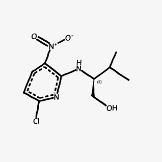 CC(C)[C@@H](CO)Nc1nc(Cl)ccc1[N+](=O)[O-]